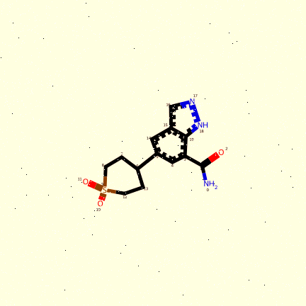 NC(=O)c1cc(C2CCS(=O)(=O)CC2)cc2cn[nH]c12